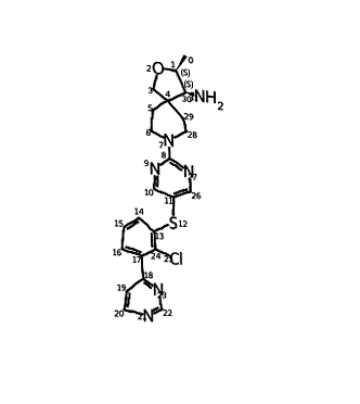 C[C@@H]1OCC2(CCN(c3ncc(Sc4cccc(-c5ccncn5)c4Cl)cn3)CC2)[C@@H]1N